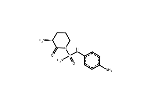 Nc1ccc(NP(N)(=O)N2CCC[C@H](N)C2=O)cc1